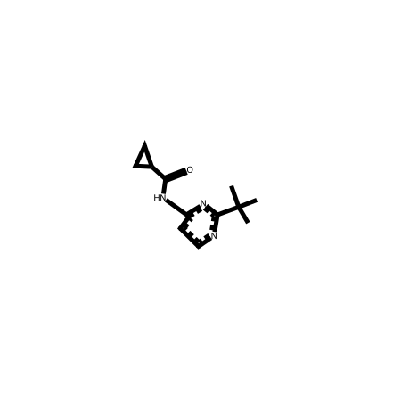 CC(C)(C)c1nccc(NC(=O)C2CC2)n1